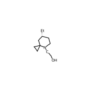 CC[C@@H]1CCN(CCO)C2(CC2)C1